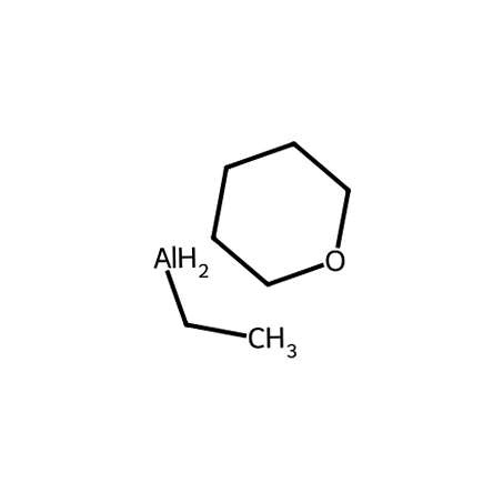 C1CCOCC1.C[CH2][AlH2]